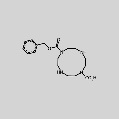 O=C(O)N1CCNCCN(C(=O)OCc2ccccc2)CCNCC1